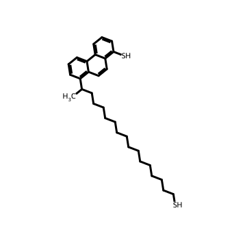 CC(CCCCCCCCCCCCCCCS)c1cccc2c1ccc1c(S)cccc12